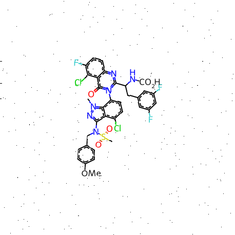 COc1ccc(CN(c2nn(C)c3c(-n4c(C(Cc5cc(F)cc(F)c5)NC(=O)O)nc5ccc(F)c(Cl)c5c4=O)ccc(Cl)c23)S(C)(=O)=O)cc1